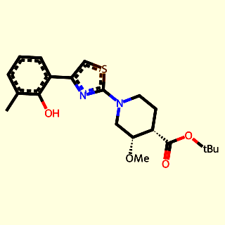 CO[C@@H]1CN(c2nc(-c3cccc(C)c3O)cs2)CC[C@@H]1C(=O)OC(C)(C)C